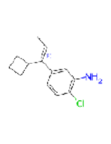 C/C=C(/c1ccc(Cl)c(N)c1)C1CCC1